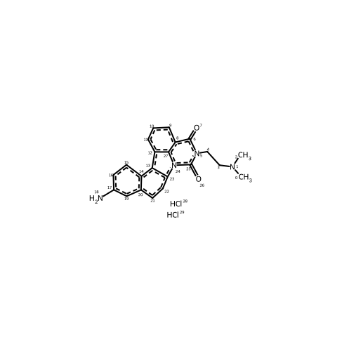 CN(C)CCn1c(=O)c2cccc3c4c5ccc(N)cc5ccc4n(c1=O)c23.Cl.Cl